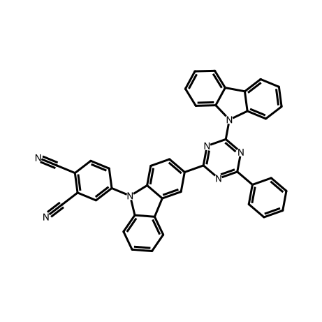 N#Cc1ccc(-n2c3ccccc3c3cc(-c4nc(-c5ccccc5)nc(-n5c6ccccc6c6ccccc65)n4)ccc32)cc1C#N